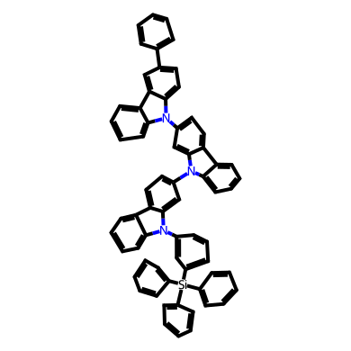 c1ccc(-c2ccc3c(c2)c2ccccc2n3-c2ccc3c4ccccc4n(-c4ccc5c6ccccc6n(-c6cccc([Si](c7ccccc7)(c7ccccc7)c7ccccc7)c6)c5c4)c3c2)cc1